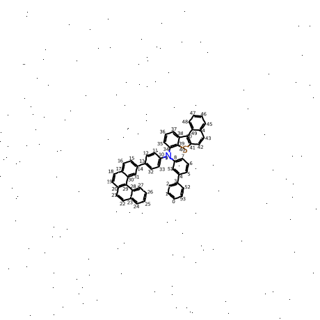 c1ccc(-c2cccc(N(c3ccc(-c4ccc5ccc6ccc7ccccc7c6c5c4)cc3)c3cccc4c3sc3ccc5ccccc5c34)c2)cc1